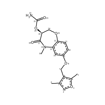 Cc1noc(C)c1COc1ccc2c(c1)N(C)C(=O)[C@@H](OC(N)=O)CO2